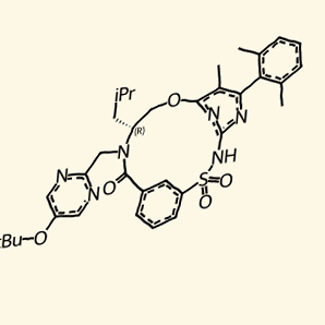 Cc1cccc(C)c1-c1nc2nc(c1C)OC[C@@H](CC(C)C)N(Cc1ncc(OC(C)(C)C)cn1)C(=O)c1cccc(c1)S(=O)(=O)N2